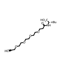 C#CCOCCOCCOCCOCCC(=O)N[C@@H](CCCC)C(=O)O